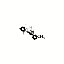 Cc1cccc(-c2cc(COc3c(F)c[c]cc3F)[nH]n2)c1